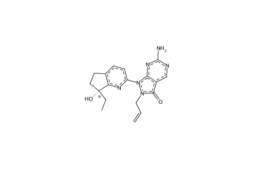 C=CCn1c(=O)c2cnc(N)nc2n1-c1ccc2c(n1)[C@@](O)(CC)CC2